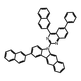 c1ccc(-c2ccc3nc(-n4c5ccc(-c6ccc7ccccc7c6)cc5c5cc6ccccc6cc54)nc(-c4ccc5ccccc5c4)c3c2)cc1